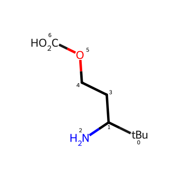 CC(C)(C)C(N)CCOC(=O)O